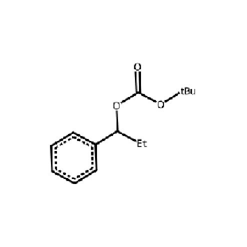 CCC(OC(=O)OC(C)(C)C)c1ccccc1